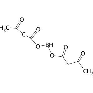 CC(=O)CC(=O)OBOC(=O)CC(C)=O